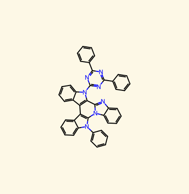 c1ccc(-c2nc(-c3ccccc3)nc(-n3c4ccccc4c4c5c6ccccc6n(-c6ccccc6)c5n5c6ccccc6nc5c43)n2)cc1